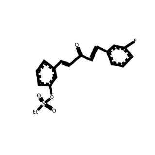 CCS(=O)(=O)Oc1cccc(/C=C/C(=O)/C=C/c2cccc(F)c2)c1